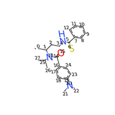 [CH2]C(CCNC(=S)c1ccccc1)N(C(=O)c1ccc(N(C)C)cc1)C(C)C